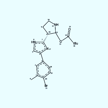 Cc1cc(-c2c[nH]c([C@@H]3CCNC3OC(=O)C(C)(C)C)n2)ccc1Br